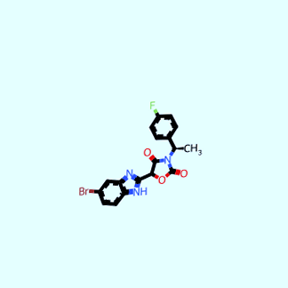 C[C@H](c1ccc(F)cc1)N1C(=O)OC(c2nc3cc(Br)ccc3[nH]2)C1=O